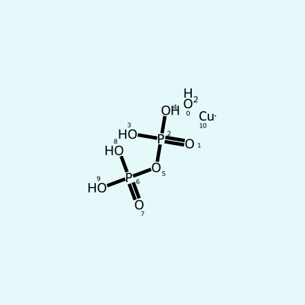 O.O=P(O)(O)OP(=O)(O)O.[Cu]